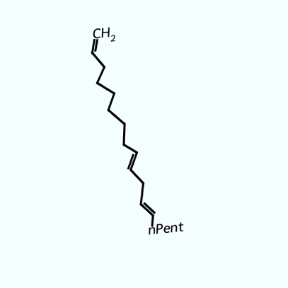 C=CCCCCCC/C=C/C/C=C/CCCCC